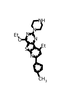 CCOc1nc(N2CCNCC2)nc2c1sc1nc(-c3ccc(C)cc3)cc(CC)c12